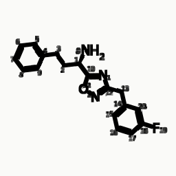 N[C@H](CCc1ccccc1)c1nc(Cc2cccc(F)c2)no1